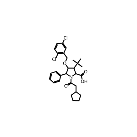 CC(C)(C)C1C(OCc2cc(Cl)ccc2Cl)C(c2ccccc2)N(C(=O)CC2CCCC2)C1C(=O)O